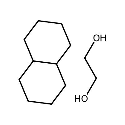 C1CCC2CCCCC2C1.OCCO